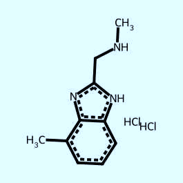 CNCc1nc2c(C)cccc2[nH]1.Cl.Cl